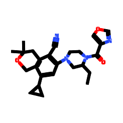 CCC1CN(c2cc(C3CC3)c3c(c2C#N)CC(C)(C)OC3)CCN1C(=O)c1cocn1